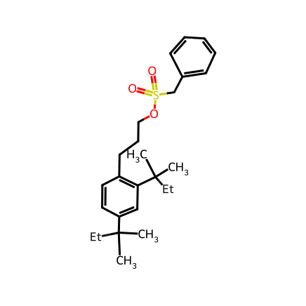 CCC(C)(C)c1ccc(CCCOS(=O)(=O)Cc2ccccc2)c(C(C)(C)CC)c1